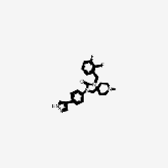 CN1CCC2(CC1)CN(c1ccc(-c3cn[nH]c3)cc1)C(=O)N2Cc1cccc(F)c1F